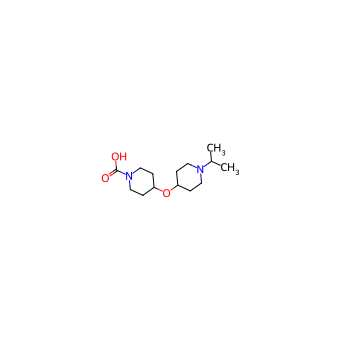 CC(C)N1CCC(OC2CCN(C(=O)O)CC2)CC1